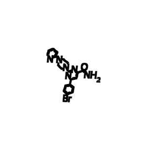 NC(=O)c1cc(-c2ccc(Br)cc2)nc(N2CCN(c3ccccn3)CC2)n1